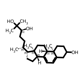 C[C@H](CC[C@H](O)C(C)(C)O)[C@H]1CC[C@H]2C3=CC=C4CC(O)CC[C@]4(C)[C@H]3CC[C@]12C